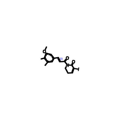 COc1cc(/C=C/C(=O)N2CCC=C(I)C2=O)cc(C)c1C